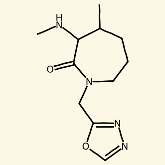 CNC1C(=O)N(Cc2nnco2)CCCC1C